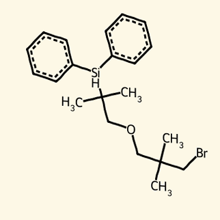 CC(C)(CBr)COCC(C)(C)[SiH](c1ccccc1)c1ccccc1